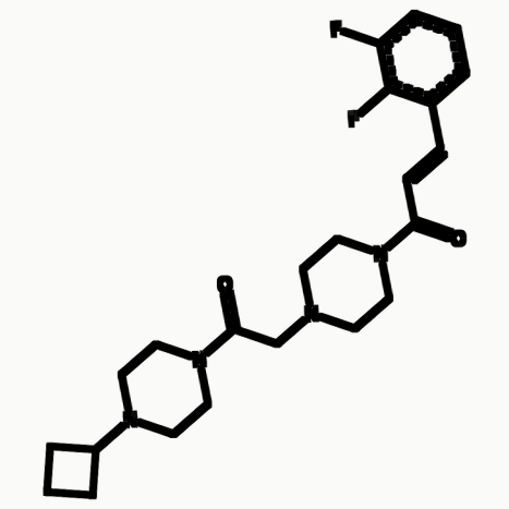 O=C(/C=C/c1cccc(F)c1F)N1CCN(CC(=O)N2CCN(C3CCC3)CC2)CC1